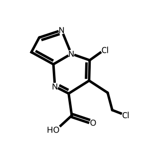 O=C(O)c1nc2ccnn2c(Cl)c1CCCl